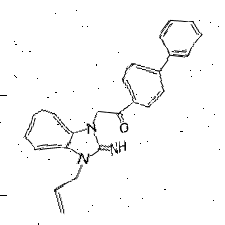 C=CCn1c(=N)n(CC(=O)c2ccc(-c3ccccc3)cc2)c2ccccc21